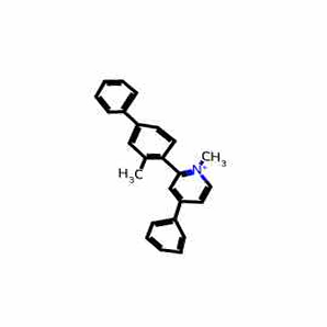 Cc1cc(-c2ccccc2)ccc1-c1cc(-c2ccccc2)cc[n+]1C